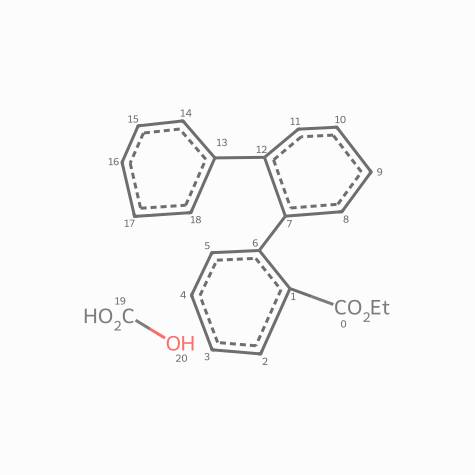 CCOC(=O)c1ccccc1-c1ccccc1-c1ccccc1.O=C(O)O